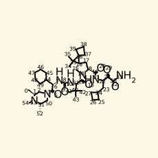 C[C@H]1CN(C(=O)[C@@H](NC(=O)N[C@H](C(=O)N2C[C@]3(C[C@H]2C(=O)NC(CC2CCC2)C(=O)C(N)=O)C(C)(C)C32CCC2)C(C)(C)C)C2CCCCC2)C[C@H](C)N1C